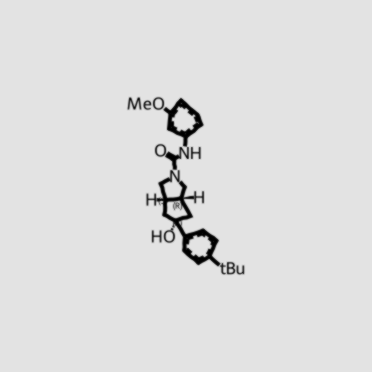 COc1cccc(NC(=O)N2C[C@@H]3C[C@@](O)(c4ccc(C(C)(C)C)cc4)C[C@@H]3C2)c1